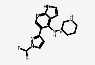 FC(F)n1ccc(-c2cnc3[nH]ccc3c2N[C@@H]2CCCNC2)n1